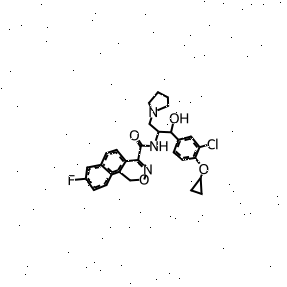 O=C(NC(CN1CCCC1)C(O)c1ccc(OC2CC2)c(Cl)c1)C1=NOCc2c1ccc1cc(F)ccc21